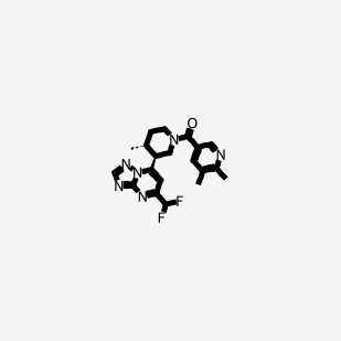 Cc1cc(C(=O)N2CC[C@@H](C)[C@H](c3cc(C(F)F)nc4ncnn34)C2)cnc1C